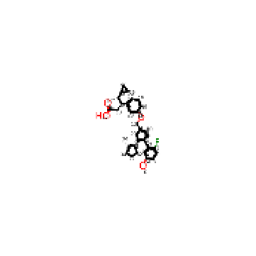 COc1ccc(F)c(-c2ccc(COc3cccc([C@@H](CC(=O)O)CC4CC4)c3)cc2[C@H]2CCC[C@@H]2C)c1